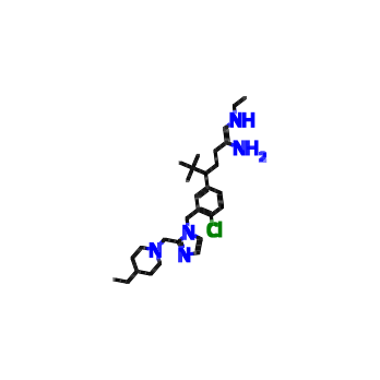 CCN/C=C(\N)CCC(c1ccc(Cl)c(Cn2ccnc2CN2CCC(CC)CC2)c1)C(C)(C)C